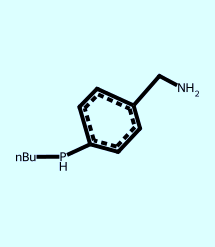 CCCCPc1ccc(CN)cc1